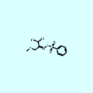 COC/C(=N/NS(=O)(=O)c1ccccc1)C(Cl)Cl